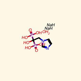 O.O=P(O)(O)C(O)(Cn1ccnc1)P(=O)(O)O.[NaH].[NaH]